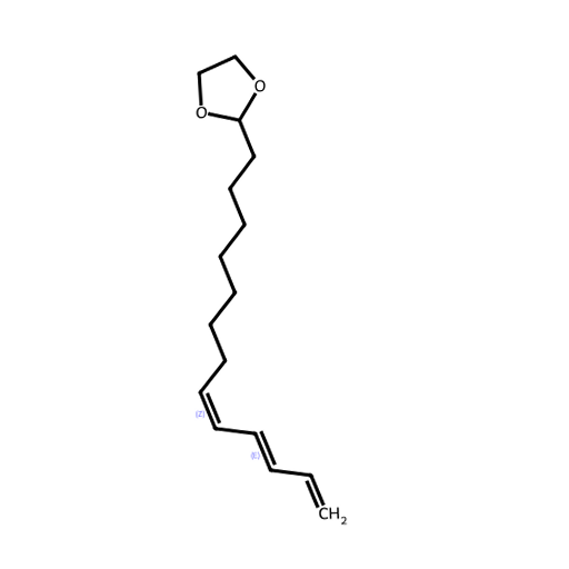 C=C/C=C/C=C\CCCCCCCC1OCCO1